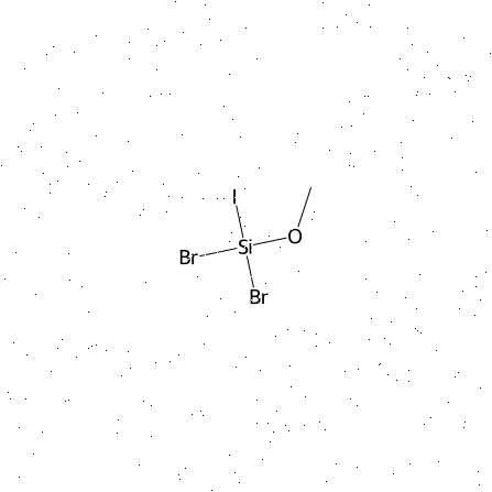 CO[Si](Br)(Br)I